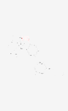 O=CCc1cccc(-c2ccc(O)c(C34CC5CC(CC(C5)C3)C4)c2)c1